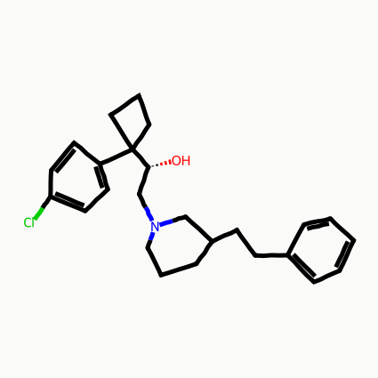 O[C@H](CN1CCCC(CCc2ccccc2)C1)C1(c2ccc(Cl)cc2)CCC1